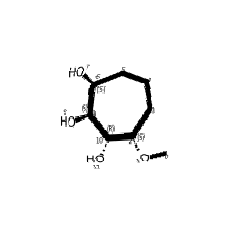 CO[C@H]1CCC[C@H](O)[C@H](O)[C@H]1O